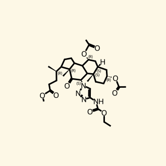 CCOC(=O)Nc1cn([C@@H]2C(=O)[C@@]3(C)C(CCC3[C@H](C)CCC(=O)OC)C3C2[C@@]2(C)CC[C@@H](OC(C)=O)C[C@H]2C[C@H]3OC(C)=O)nn1